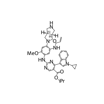 C=CC(=O)Nc1cc(Nc2ncc(C(=O)OC(C)C)c(-c3cn(C4CC4)c4ccccc34)n2)c(OC)cc1N1C[C@H]2CNC[C@H]2C1